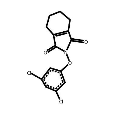 O=C1C2=C(CCCC2)C(=O)N1Oc1cc(Cl)cc(Cl)c1